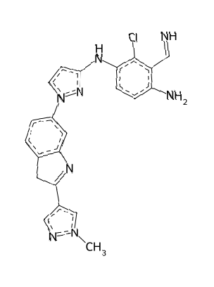 Cn1cc(C2=Nc3cc(-n4ccc(Nc5ccc(N)c(C=N)c5Cl)n4)ccc3C2)cn1